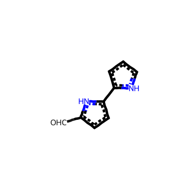 O=Cc1ccc(-c2ccc[nH]2)[nH]1